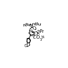 CCCCN(CCCC)C(=O)CN1CC(c2ccc3c(c2)CCO3)[C@H](C(=O)O)[C@H]1CC(C)(C)CCC